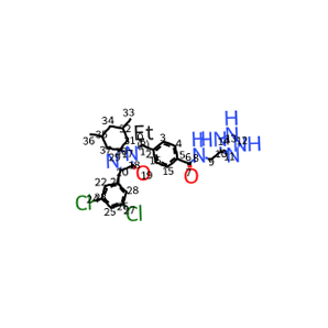 CC[C@H](c1ccc(C(=O)NCC2=NNNN2)cc1)N1C(=O)C(c2cc(Cl)cc(Cl)c2)=NC12CC(C)CC(C)C2